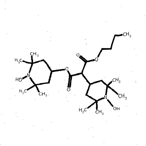 CCCCOC(=O)C(C(=O)OC1CC(C)(C)N(O)C(C)(C)C1)C1CC(C)(C)N(O)C(C)(C)C1